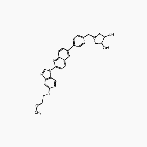 COCCOc1ccc2c(c1)ncn2-c1ccc2cc(-c3ccc(CN4CC(O)C(O)C4)cc3)ccc2n1